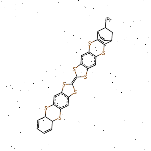 CC(C)C1CC2C=CC1C1=C2Sc2cc3c(cc2S1)SC(=C1Sc2cc4c(cc2S1)SC1C=CC=CC1S4)S3